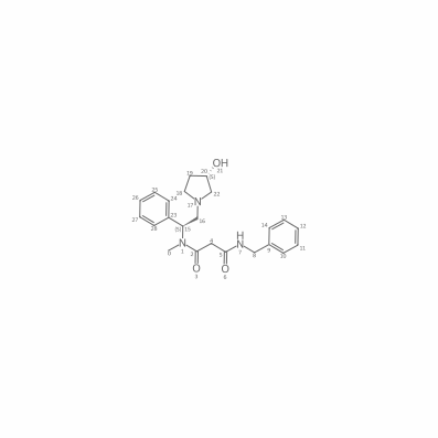 CN(C(=O)CC(=O)NCc1ccccc1)[C@H](CN1CC[C@H](O)C1)c1ccccc1